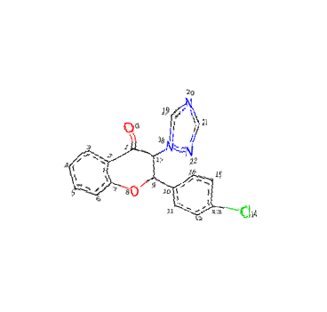 O=C1c2ccccc2OC(c2ccc(Cl)cc2)C1n1cncn1